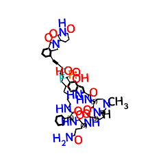 CN1CC[C@H](NC(=O)c2cc3cc(C(F)(F)P(=O)(O)O)ccc3[nH]2)C(=O)N2[C@H](CC[C@H]2C(=O)N[C@@H](CCC(N)=O)C(=O)N[C@H](C(=O)NCCCCCCCCCC#Cc2cccc3c2CN(C2CCC(=O)NC2=O)C3=O)c2ccccc2)C1